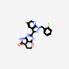 CC[C@@]12CCOc3nc(-c4nn(Cc5ccccc5F)c5ncc(F)cc45)nc(c31)NC2=O